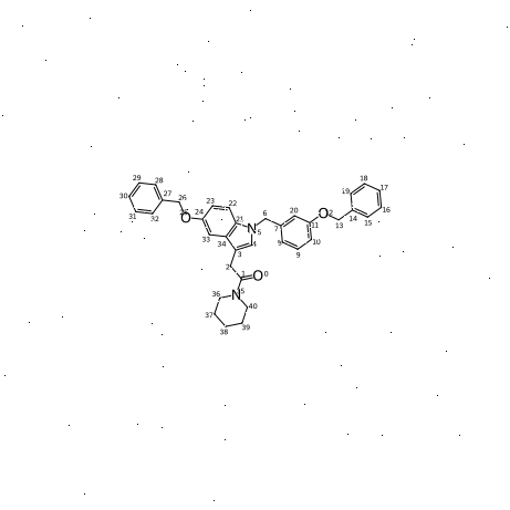 O=C(Cc1cn(Cc2cccc(OCc3ccccc3)c2)c2ccc(OCc3ccccc3)cc12)N1CCCCC1